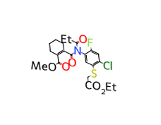 CCOC(=O)CSc1cc(N(C(=O)CC)C(=O)C2=C(C(=O)OC)CCCC2)c(F)cc1Cl